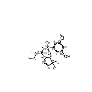 CCN/C(=N/S(=O)(=O)c1cc(O)cc(Cl)c1)N1CC(C)(C)C=N1